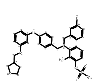 Cc1c(NS(C)(=O)=O)cccc1N(Cc1ccc(Oc2cccc(OCC3CCOC3)c2)cc1)Cc1cccc(F)c1